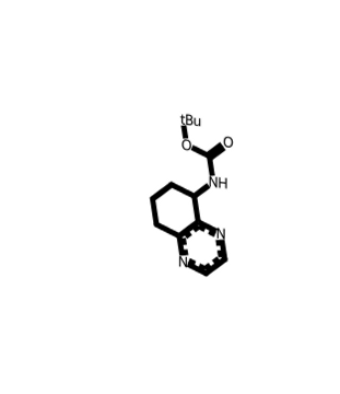 CC(C)(C)OC(=O)NC1CCCc2nccnc21